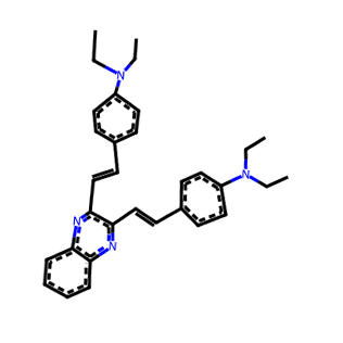 CCN(CC)c1ccc(/C=C/c2nc3ccccc3nc2/C=C/c2ccc(N(CC)CC)cc2)cc1